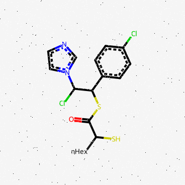 CCCCCCC(S)C(=O)SC(c1ccc(Cl)cc1)C(Cl)n1ccnc1